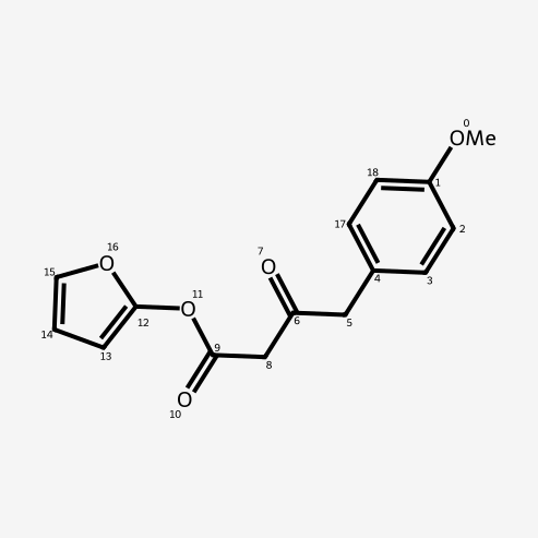 COc1ccc(CC(=O)CC(=O)Oc2ccco2)cc1